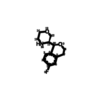 Fc1ccc2c(c1)CCO[C@@H]2[C@@H]1COCCN1